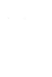 CCCc1cc(OC)c(OC)cc1C=Cc1ccc(O)c(OC)c1